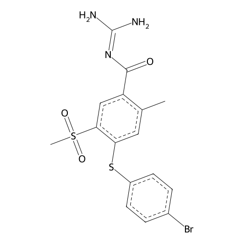 Cc1cc(Sc2ccc(Br)cc2)c(S(C)(=O)=O)cc1C(=O)N=C(N)N